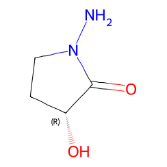 NN1CC[C@@H](O)C1=O